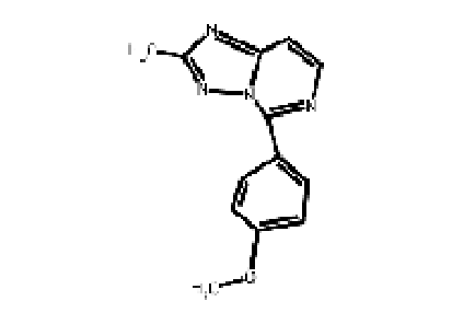 COc1ccc(-c2nccc3nc(C)nn23)cc1